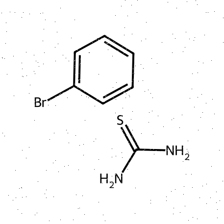 Brc1ccccc1.NC(N)=S